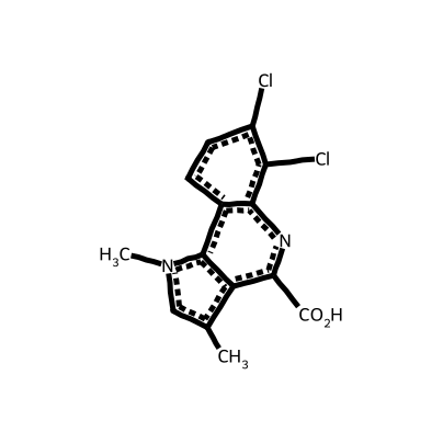 Cc1cn(C)c2c1c(C(=O)O)nc1c(Cl)c(Cl)ccc12